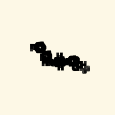 CC1(C)CC(N2C[C@H]3C[C@@H](Nc4ccc(-c5cccc(F)c5)nn4)C[C@H]3C2)CCO1